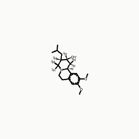 [2H]C1([2H])N2CCc3cc(OC)c(OC)cc3[C@@H]2C([2H])([2H])[C@@]([2H])(O)[C@@]1([2H])CC(C)C